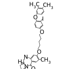 Cc1ccc(Oc2ccc(OCCCCCOc3cc4c(cc3C)C(=O)N3CCC[C@H]3C=N4)cc2I)cc1C